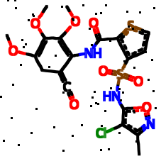 COC1=C(OC)C(OC)=C(NC(=O)c2sccc2S(=O)(=O)Nc2onc(C)c2Cl)C(=C=O)C1